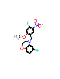 COc1cc(F)c([N+](=O)[O-])cc1CN1CCOc2ccc(F)cc21